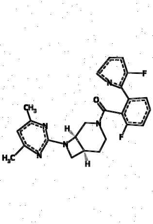 Cc1cc(C)nc(N2C[C@@H]3CCN(C(=O)c4c(F)cccc4-c4ncccc4F)C[C@@H]32)n1